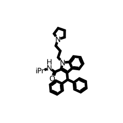 CC(C)NC(=O)c1c(C(c2ccccc2)c2ccccc2)c2ccccc2n1CCCN1CCCC1